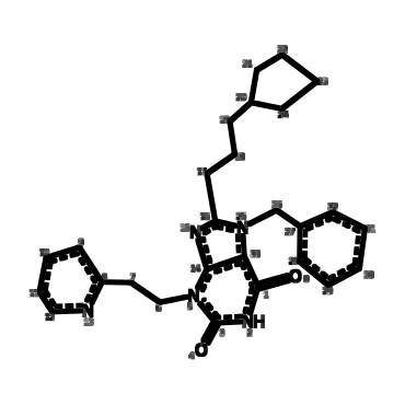 O=c1[nH]c(=O)n(CCc2ccccn2)c2nc(CCCC3CCCC3)n(Cc3ccccc3)c12